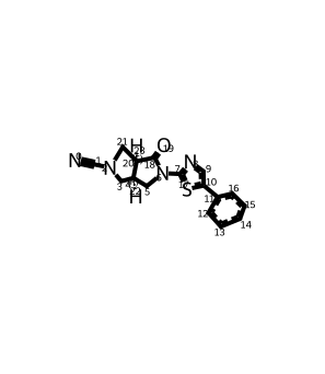 N#CN1C[C@@H]2CN(c3ncc(-c4ccccc4)s3)C(=O)[C@@H]2C1